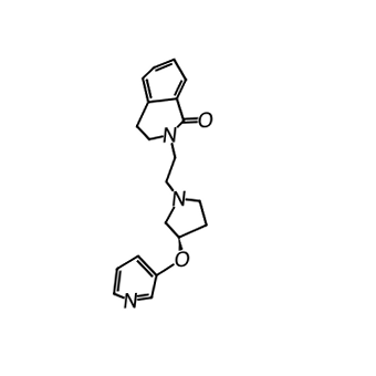 O=C1c2ccccc2CCN1CCN1CC[C@@H](Oc2cccnc2)C1